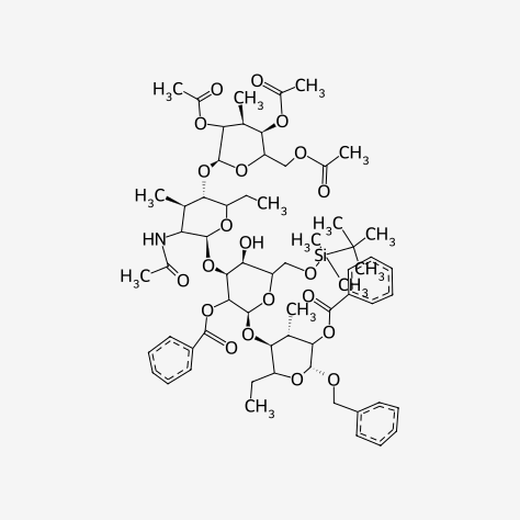 CCC1O[C@@H](O[C@@H]2C(OC(=O)c3ccccc3)[C@H](O[C@@H]3C(CC)O[C@@H](OCc4ccccc4)C(OC(=O)c4ccccc4)[C@H]3C)OC(CO[Si](C)(C)C(C)(C)C)[C@@H]2O)C(NC(C)=O)[C@@H](C)[C@@H]1O[C@@H]1OC(COC(C)=O)[C@H](OC(C)=O)[C@H](C)C1OC(C)=O